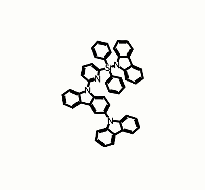 c1ccc([Si](c2ccccc2)(c2cccc(-n3c4ccccc4c4cc(-n5c6ccccc6c6ccccc65)ccc43)n2)n2c3ccccc3c3ccccc32)cc1